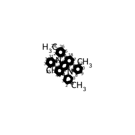 CC1=CC=CC(N(c2cccc(C)c2)c2c3ccccc3c(N(c3cccc(C)c3)c3cccc(C)c3)c3ccccc23)C1